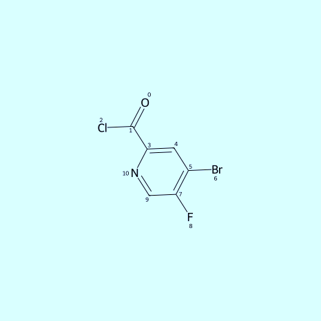 O=C(Cl)c1cc(Br)c(F)cn1